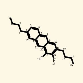 CCCCc1ccc2cc3cc(CCCC)c(F)c(F)c3cc2c1